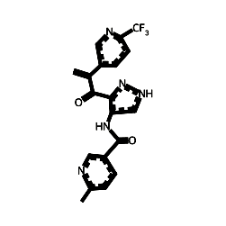 C=C(C(=O)c1n[nH]cc1NC(=O)c1ccc(C)nc1)c1ccc(C(F)(F)F)nc1